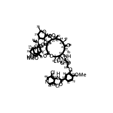 CC[C@H]1OC(=O)[C@H](C)[C@@H](O[C@H]2C[C@@](C)(OC)[C@@H](O)[C@H](C)O2)[C@H](C)[C@@H](O[C@@H]2O[C@H](C)C[C@H](N(C)C(=O)N3CCOCC3)[C@H]2O)[C@](C)(OC)C[C@@H](C)C(=O)[C@H](C)[C@@H](NCCCOc2cc(C(=O)Nc3c(Cl)cncc3Cl)ccc2OC)[C@]1(C)OC=O